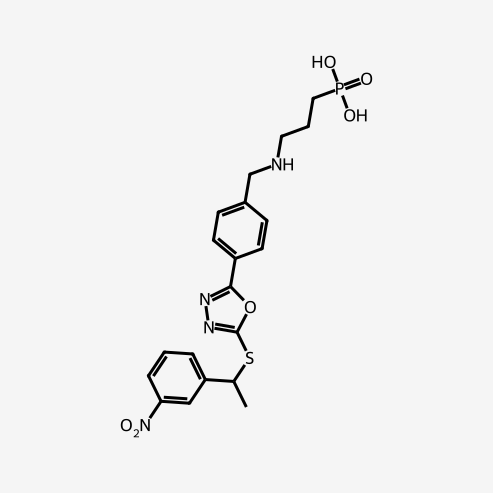 CC(Sc1nnc(-c2ccc(CNCCCP(=O)(O)O)cc2)o1)c1cccc([N+](=O)[O-])c1